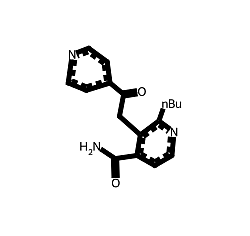 CCCCc1nccc(C(N)=O)c1CC(=O)c1ccncc1